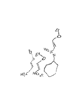 CCOC=CC(=O)O.CCOC=CC(=O)O.CCOC=CC(=O)O.[Si]C1CCCCC1